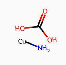 O=C(O)O.[NH2][Cu]